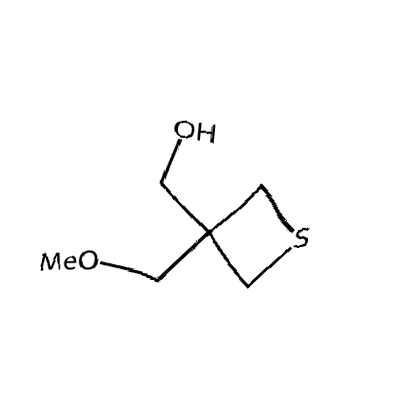 COCC1(CO)CSC1